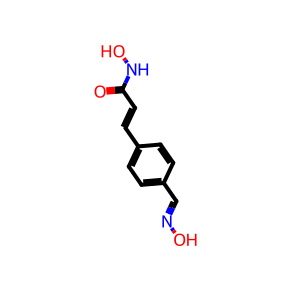 O=C(/C=C/c1ccc(/C=N/O)cc1)NO